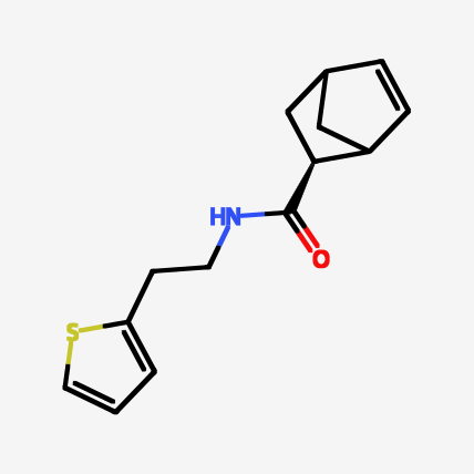 O=C(NCCc1cccs1)[C@H]1CC2C=CC1C2